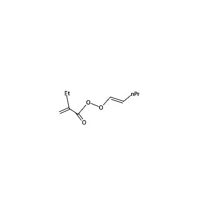 C=C(CC)C(=O)OOC=CCCC